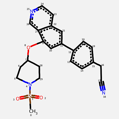 CS(=O)(=O)N1CCC(Oc2cc(-c3ccc(CC#N)cc3)cc3ccncc23)CC1